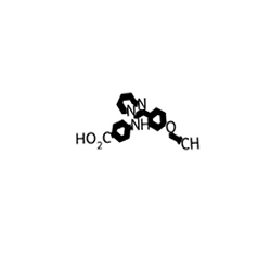 C#CCOc1ccc(-c2nc3ccccn3c2Nc2ccc(C(=O)O)cc2)cc1